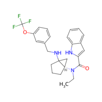 CCN(C(=O)c1cc2ccccc2[nH]1)[C@]12CCCC1(NCc1cccc(OC(F)(F)F)c1)C2